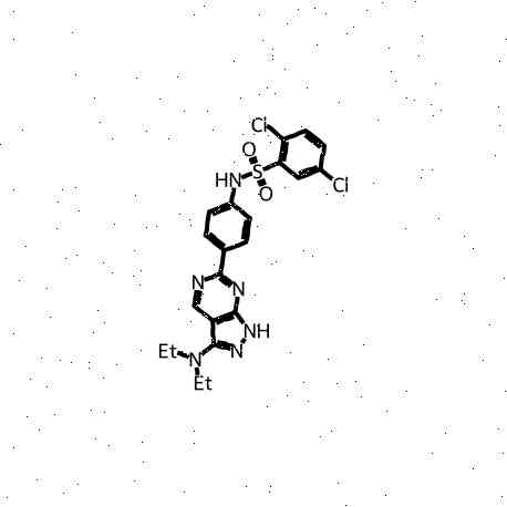 CCN(CC)c1n[nH]c2nc(-c3ccc(NS(=O)(=O)c4cc(Cl)ccc4Cl)cc3)ncc12